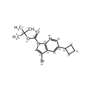 CC(C)(C)OC(=O)n1cc(Br)c2cc(C3CCC3)cnc21